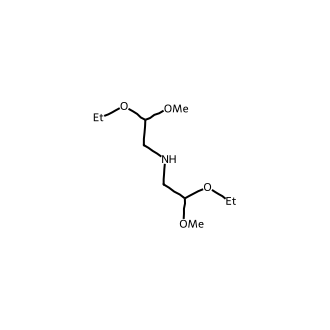 CCOC(CNCC(OC)OCC)OC